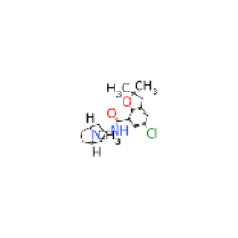 CN1[C@@H]2CC[C@H]1C[C@@H](NC(=O)c1cc(Cl)cc3c1OC(C)(C)C3)C2